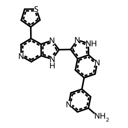 Nc1cncc(-c2cnc3[nH]nc(-c4nc5c(-c6ccsc6)cncc5[nH]4)c3c2)c1